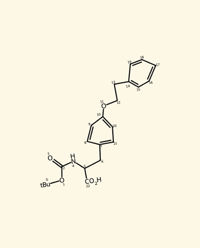 CC(C)(C)OC(=O)NC(Cc1ccc(OCCc2ccccc2)cc1)C(=O)O